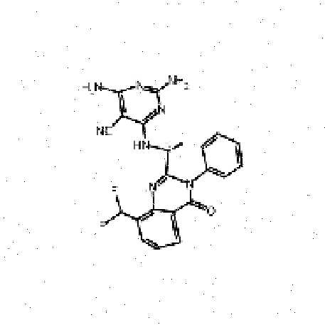 C[C@H](Nc1nc(N)nc(N)c1C#N)c1nc2c(C(F)F)cccc2c(=O)n1-c1ccccc1